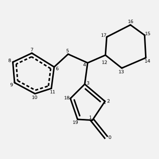 C=C1[C]=C(C(Cc2ccccc2)C2CCCCC2)C=C1